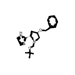 CC(C)(C)OCN1C[C@@H](OCc2ccccc2)C[C@H]1c1ncc[nH]1